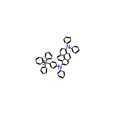 c1ccc(N(c2ccccc2)c2ccc3ccc4c(N(c5ccccc5)c5ccc([Si](c6ccccc6)(c6ccccc6)c6ccccc6)cc5)ccc5ccc2c3c54)cc1